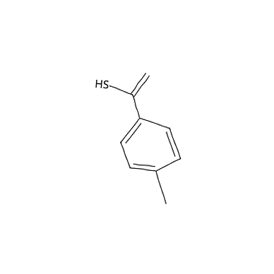 C=C(S)c1ccc(C)cc1